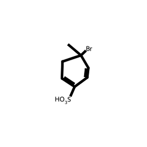 CC1(Br)C=CC(S(=O)(=O)O)=CC1